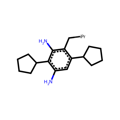 CC(C)Cc1c(C2CCCC2)cc(N)c(C2CCCC2)c1N